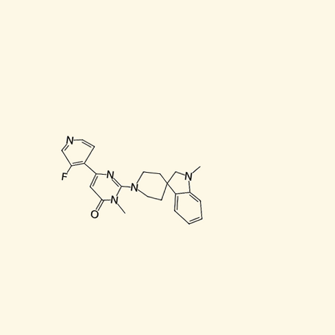 CN1CC2(CCN(c3nc(-c4ccncc4F)cc(=O)n3C)CC2)c2ccccc21